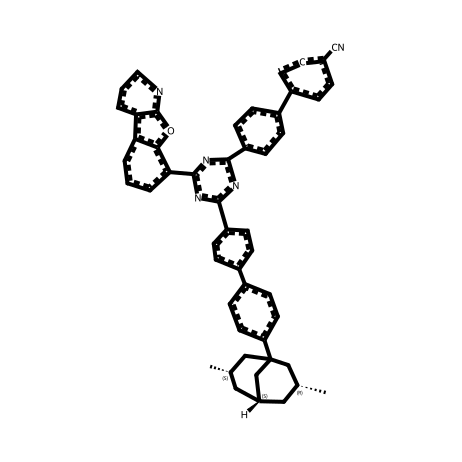 C[C@@H]1C[C@@H]2C[C@H](C)CC(c3ccc(-c4ccc(-c5nc(-c6ccc(-c7ccc(C#N)cc7)cc6)nc(-c6cccc7c6oc6ncccc67)n5)cc4)cc3)(C1)C2